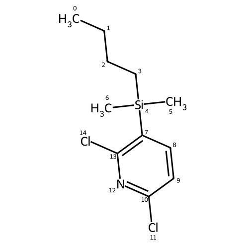 CCCC[Si](C)(C)c1ccc(Cl)nc1Cl